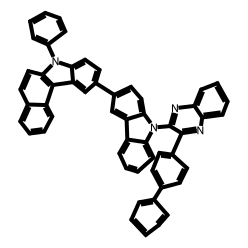 c1ccc(-c2ccc(-c3nc4ccccc4nc3-n3c4ccccc4c4cc(-c5ccc6c(c5)c5c7ccccc7ccc5n6-c5ccccc5)ccc43)cc2)cc1